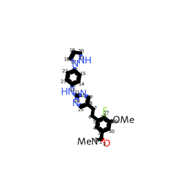 CNC(=O)c1cc(CCc2cnc(Nc3ccc(N4C=CCN4)cc3)nc2)c(F)c(OC)c1